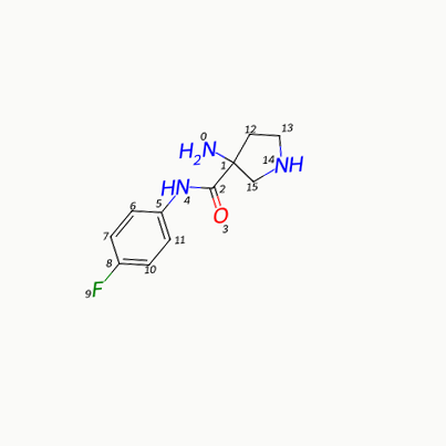 NC1(C(=O)Nc2ccc(F)cc2)CCNC1